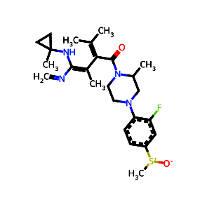 C=N/C(NC1(C)CC1)=C(\C)C(C(=O)N1CCN(c2ccc([S+](C)[O-])cc2F)CC1C)=C(C)C